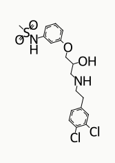 CS(=O)(=O)Nc1cccc(OCC(O)CNCCc2ccc(Cl)c(Cl)c2)c1